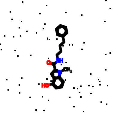 Cn1c(C(=O)NCCCCc2ccccc2)cc2c(O)cccc21